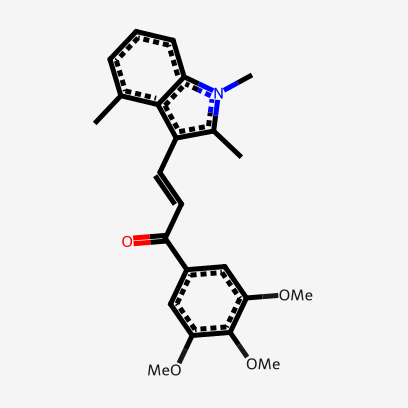 COc1cc(C(=O)C=Cc2c(C)n(C)c3cccc(C)c23)cc(OC)c1OC